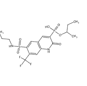 CCCNS(=O)(=O)c1cc2cc(P(=O)(O)OC(C)CC)c(=O)[nH]c2cc1C(F)(F)F